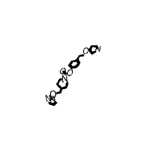 O=C(Oc1ccc(CCOc2ccncc2)cc1)N1CCC(COn2cccn2)CC1